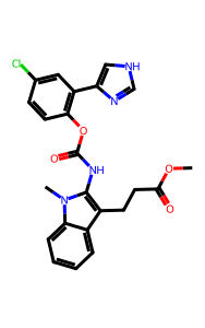 COC(=O)CCc1c(NC(=O)Oc2ccc(Cl)cc2-c2c[nH]cn2)n(C)c2ccccc12